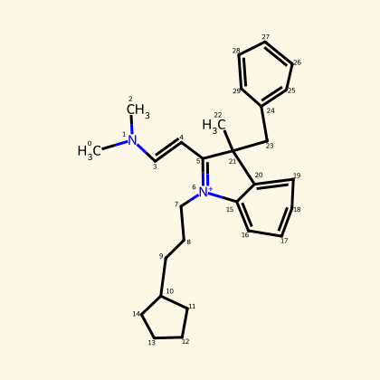 CN(C)/C=C/C1=[N+](CCCC2CCCC2)c2ccccc2C1(C)Cc1ccccc1